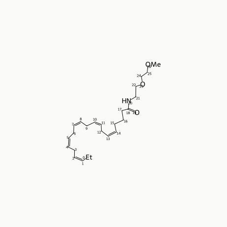 CC/C=C\C/C=C\C/C=C\C/C=C\C/C=C\CCCC(=O)NCCOCCOC